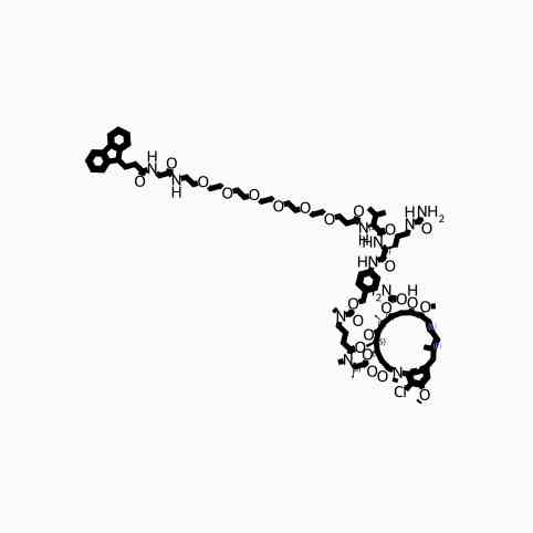 COc1cc2cc(c1Cl)N(C)C(=O)C[C@H](OC(=O)[C@H](C)N(C)C(=O)CCCN(C)C(=O)OCc1ccc(NC(=O)[C@H](CCCNC(N)=O)NC(=O)[C@@H](NC(=O)CCOCCOCCOCCOCCOCCOCCNC(=O)CNC(=O)CCC3c4ccccc4-c4ccccc43)C(C)C)cc1)[C@]1(C)OC1[C@H](C)[C@@H](OC(N)=O)CC(O)[C@H](OC)/C=C/C=C(\C)C2